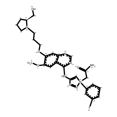 COc1cc2c(NC3=C[N+](CC(N)=O)(c4cccc(F)c4)N=N3)ncnc2cc1OCCCN1CCC[C@H]1CO